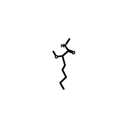 CCCCCC(OC)C(=O)NC